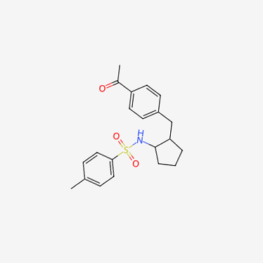 CC(=O)c1ccc(CC2CCCC2NS(=O)(=O)c2ccc(C)cc2)cc1